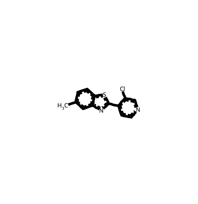 Cc1ccc2sc(-c3ccncc3Cl)nc2c1